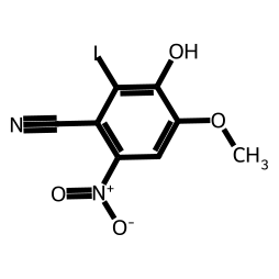 COc1cc([N+](=O)[O-])c(C#N)c(I)c1O